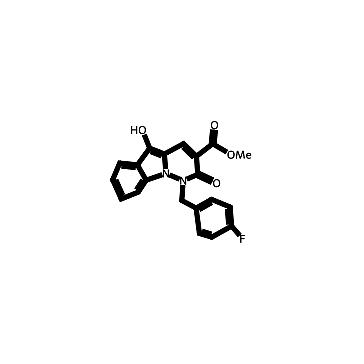 COC(=O)c1cc2c(O)c3ccccc3n2n(Cc2ccc(F)cc2)c1=O